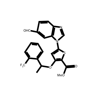 COC(=O)c1sc(-n2cnc3ccc(C=O)cc32)cc1OC(C)c1ccccc1C(F)(F)F